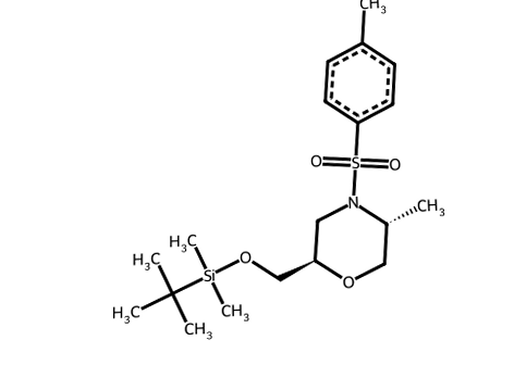 Cc1ccc(S(=O)(=O)N2C[C@H](CO[Si](C)(C)C(C)(C)C)OC[C@H]2C)cc1